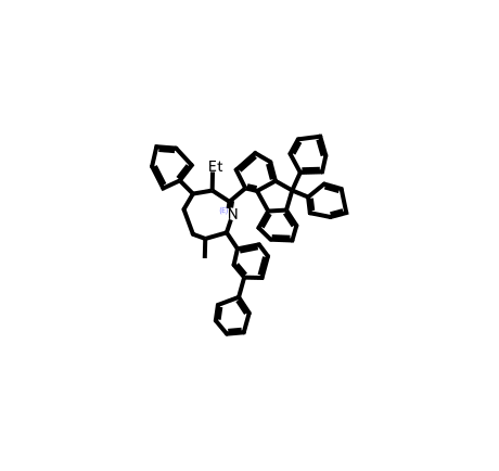 CCC1/C(c2cccc3c2-c2ccccc2C3(c2ccccc2)c2ccccc2)=N\C(c2cccc(-c3ccccc3)c2)C(C)CCC1c1ccccc1